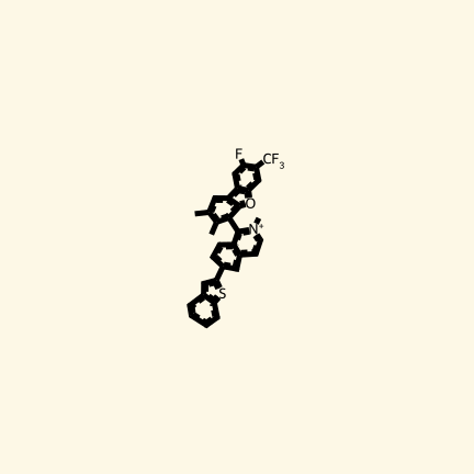 Cc1cc2c(oc3cc(C(F)(F)F)c(F)cc32)c(-c2c3ccc(-c4cc5ccccc5s4)cc3cc[n+]2C)c1C